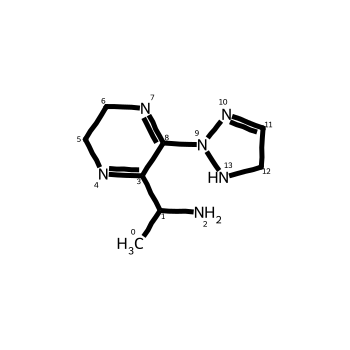 CC(N)C1=NCCN=C1N1N=CCN1